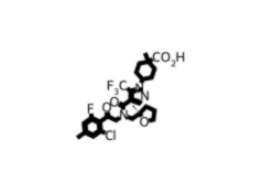 Cc1cc(F)c(C(=O)CN(C[C@@]2(C)CCCO2)C(=O)c2cnn(C3CCC(C)(C(=O)O)CC3)c2C(F)(F)F)c(Cl)c1